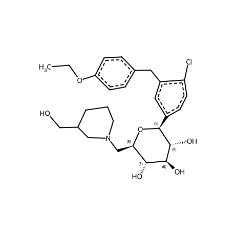 CCOc1ccc(Cc2cc([C@@H]3O[C@H](CN4CCCC(CO)C4)[C@@H](O)[C@H](O)[C@H]3O)ccc2Cl)cc1